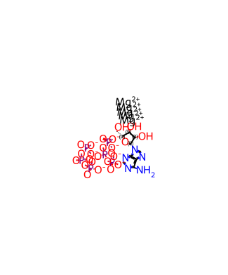 Nc1ncnc2c1ncn2[C@@H]1O[C@H](CO)[C@@H](O)[C@H]1O.O=P([O-])([O-])OP(=O)([O-])OP(=O)([O-])[O-].O=P([O-])([O-])OP(=O)([O-])OP(=O)([O-])[O-].[Mg+2].[Mg+2].[Mg+2].[Mg+2].[Mg+2]